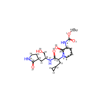 CC(C)(C)OC(=O)Nc1cccn([C@@H](CC2CC2)C(=O)N[C@H](CO)C[C@@H]2CCNC2=O)c1=O